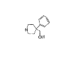 OCC1(c2ccccc2)CC[N]CC1